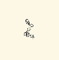 O=C1OC(c2ccc(F)cc2)CN1Cc1ccc(-c2ccccc2CN2CCOCC2)cc1